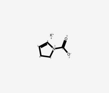 O=C([O-])N1C=CCC1.[K+]